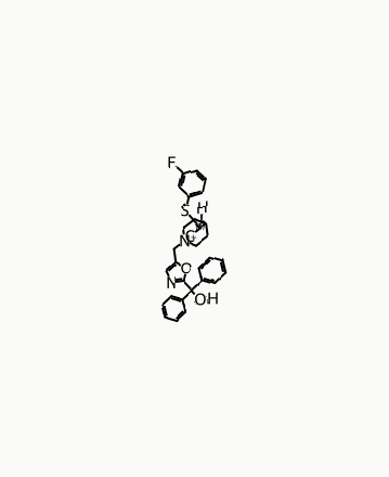 OC(c1ccccc1)(c1ccccc1)c1ncc(C[N+]23CCC(CC2)[C@@H](Sc2cccc(F)c2)C3)o1